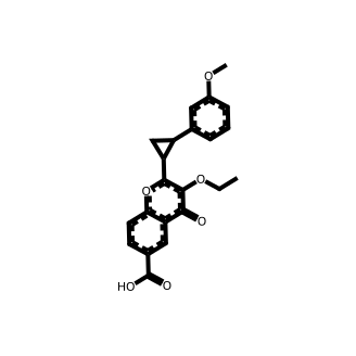 CCOc1c(C2CC2c2cccc(OC)c2)oc2ccc(C(=O)O)cc2c1=O